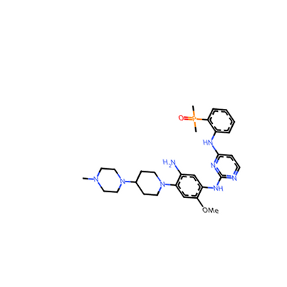 COc1cc(N2CCC(N3CCN(C)CC3)CC2)c(N)cc1Nc1nccc(Nc2ccccc2P(C)(C)=O)n1